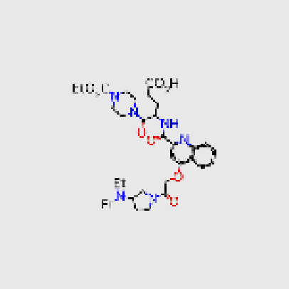 CCOC(=O)N1CCN(C(=O)C(CCC(=O)O)NC(=O)c2cc(OCC(=O)N3CCC(N(CC)CC)C3)c3ccccc3n2)CC1